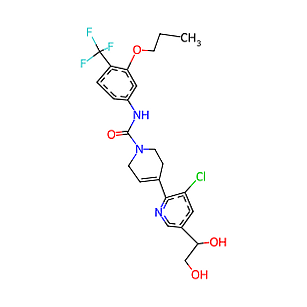 CCCOc1cc(NC(=O)N2CC=C(c3ncc(C(O)CO)cc3Cl)CC2)ccc1C(F)(F)F